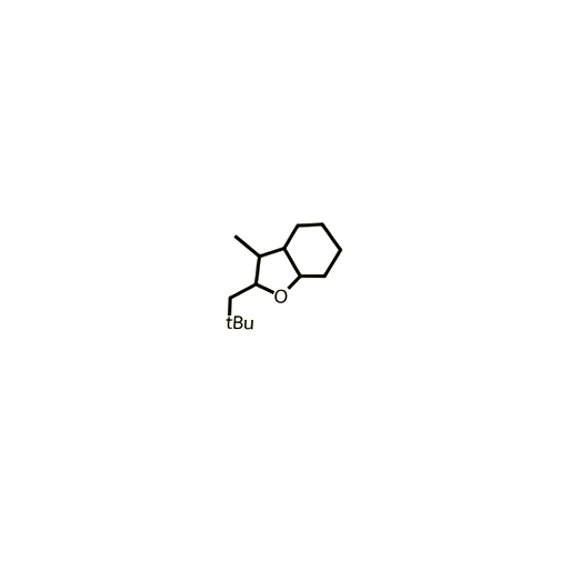 CC1C(CC(C)(C)C)OC2CCCCC21